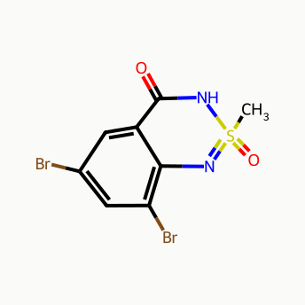 CS1(=O)=Nc2c(Br)cc(Br)cc2C(=O)N1